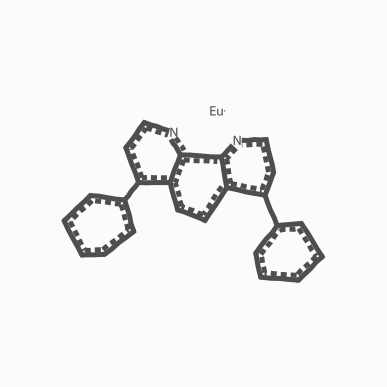 [Eu].c1ccc(-c2ccnc3c2ccc2c(-c4ccccc4)ccnc23)cc1